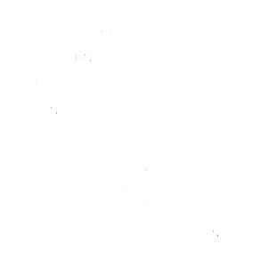 CNc1ccc(C2(c3ccccc3C(N)=O)CC2)cc1[N+](=O)[O-]